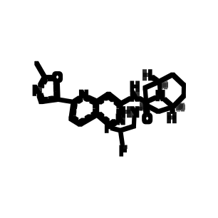 Cc1ncc(-c2ccc3cnc(NC(=O)N4[C@@H]5CCC[C@H]4C[C@@H](NCC(F)F)C5)cc3n2)o1